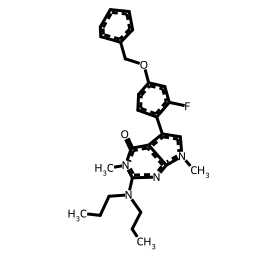 CCCN(CCC)c1nc2c(c(-c3ccc(OCc4ccccc4)cc3F)cn2C)c(=O)n1C